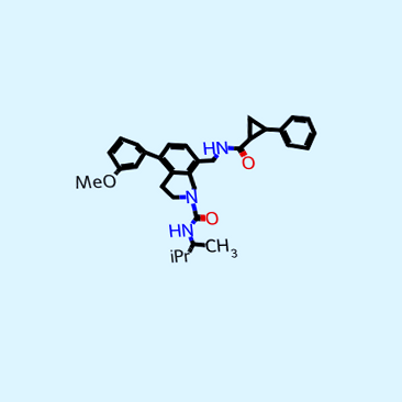 COc1cccc(-c2ccc(CNC(=O)C3CC3c3ccccc3)c3c2CCN(C(=O)NC(C)C(C)C)C3)c1